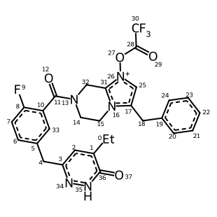 CCc1cc(Cc2ccc(F)c(C(=O)N3CCn4c(Cc5ccccc5)c[n+](OC(=O)C(F)(F)F)c4C3)c2)n[nH]c1=O